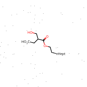 CCCCCCCCCOC(=O)C(CO)CC(=O)O